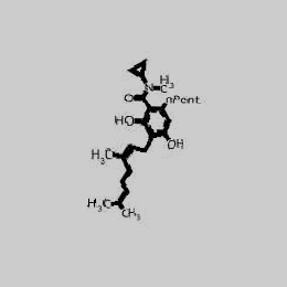 CCCCCc1cc(O)c(CC=C(C)CCC=C(C)C)c(O)c1C(=O)N(C)C1CC1